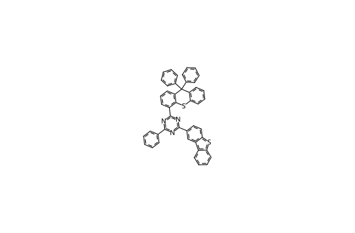 c1ccc(-c2nc(-c3ccc4sc5ccccc5c4c3)nc(-c3cccc4c3Sc3ccccc3C4(c3ccccc3)c3ccccc3)n2)cc1